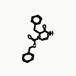 O=C1NC=CN(C(=O)OCc2ccccc2)C1Cc1ccccc1